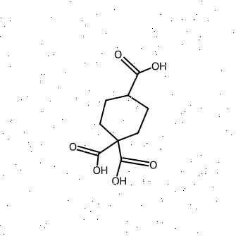 O=C(O)C1CCC(C(=O)O)(C(=O)O)CC1